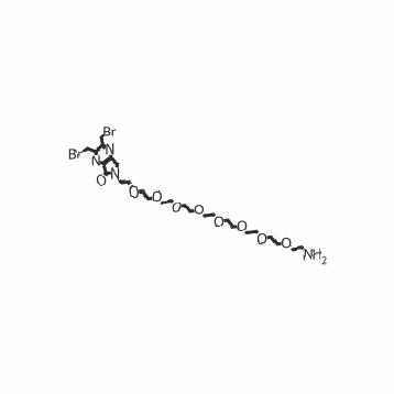 NCCOCCOCCOCCOCCOCCOCCOCCOCCN1Cc2nc(CBr)c(CBr)nc2C1=O